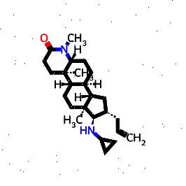 C=CC[C@H]1C[C@H]2[C@@H]3CC[C@H]4N(C)C(=O)CC[C@]4(C)[C@H]3CC[C@]2(C)[C@H]1NC1CC1